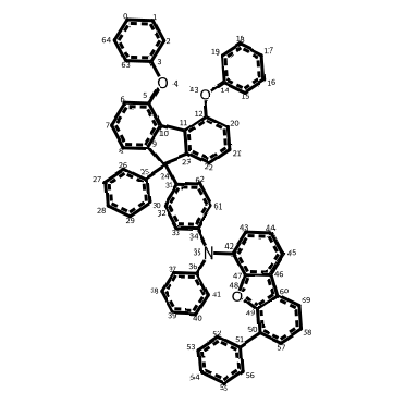 c1ccc(Oc2cccc3c2-c2c(Oc4ccccc4)cccc2C3(c2ccccc2)c2ccc(N(c3ccccc3)c3cccc4c3oc3c(-c5ccccc5)cccc34)cc2)cc1